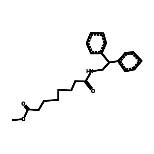 COC(=O)CCCCCCC(=O)NCC(c1ccccc1)c1ccccc1